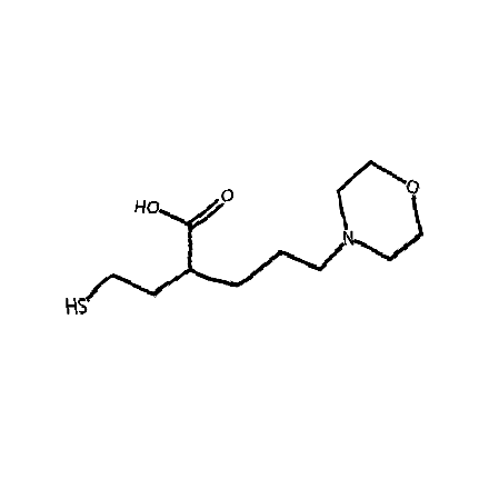 O=C(O)C(CCS)CCCN1CCOCC1